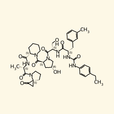 CCc1ccc(NC(=O)N[C@@H](Cc2cccc(C)c2)C(=O)N[C@@H](CO)C(=O)N2C[C@H](O)C[C@H]2C(=O)N2CCCC[C@H]2C(=O)N[C@@H](C)C(=O)N2CCC[C@@]23CC3=O)cc1